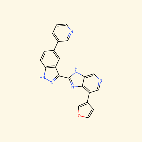 c1cncc(-c2ccc3[nH]nc(-c4nc5c(-c6ccoc6)cncc5[nH]4)c3c2)c1